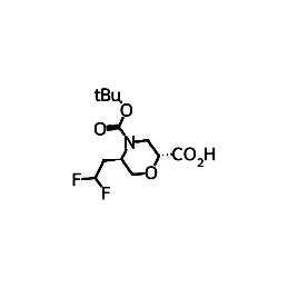 CC(C)(C)OC(=O)N1C[C@H](C(=O)O)OC[C@H]1CC(F)F